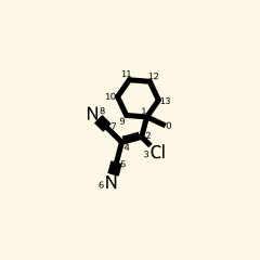 CC1(C(Cl)=C(C#N)C#N)CCCCC1